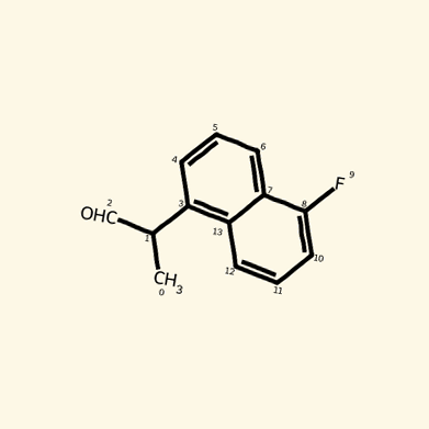 CC(C=O)c1cccc2c(F)cccc12